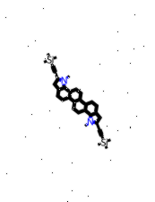 Cn1c(C#C[Si](C)(C)C)cc2ccc3c4ccc5c(ccc6cc(C#C[Si](C)(C)C)n(C)c65)c4ccc3c21